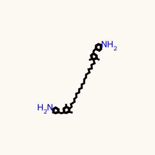 Cc1cc(Cc2ccc(N)cc2)cc(C)c1CCCCCCCCCCCCCCCCCCCc1c(C)cc(Cc2ccc(N)cc2)cc1C